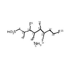 N.O=S(=O)(O)CC(F)C(F)C(F)C(F)C(F)CCF